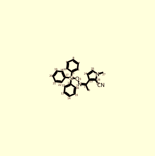 CC(=NO[Si](c1ccccc1)(c1ccccc1)c1ccccc1)c1ccn(C)c1C#N